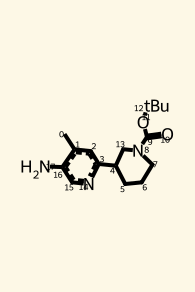 Cc1cc(C2CCCN(C(=O)OC(C)(C)C)C2)ncc1N